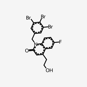 O=c1cc(CCO)c2cc(F)ccc2n1Cc1cc(Br)c(Br)c(Br)c1